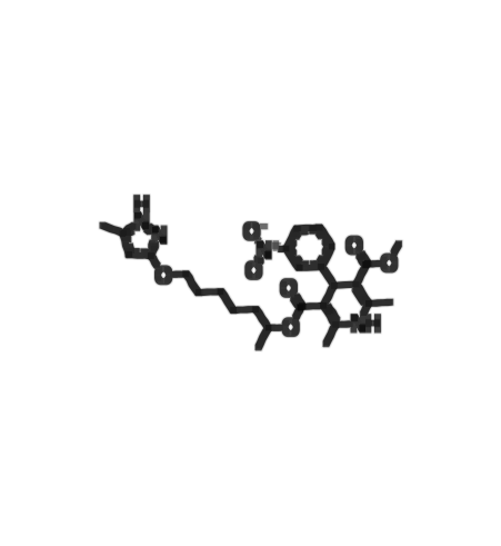 COC(=O)C1=C(C)NC(C)=C(C(=O)OC(C)CCCCCOc2cc(C)[nH]n2)C1c1cccc([N+](=O)[O-])c1